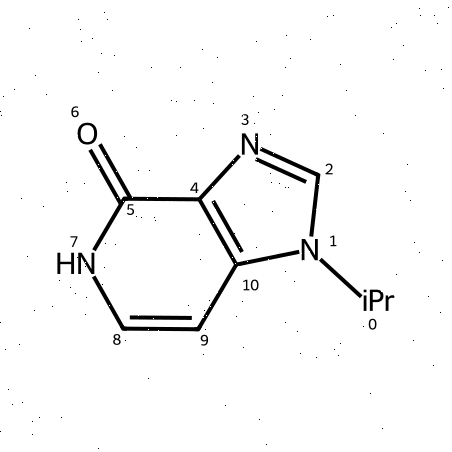 CC(C)n1cnc2c(=O)[nH]ccc21